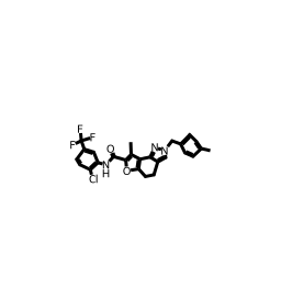 Cc1ccc(Cn2cc3c(n2)-c2c(oc(C(=O)Nc4cc(C(F)(F)F)ccc4Cl)c2C)CC3)cc1